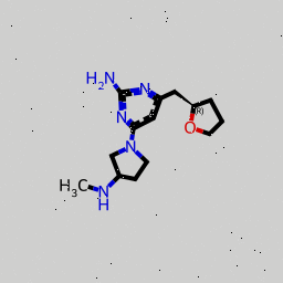 CNC1CCN(c2cc(C[C@H]3CCCO3)nc(N)n2)C1